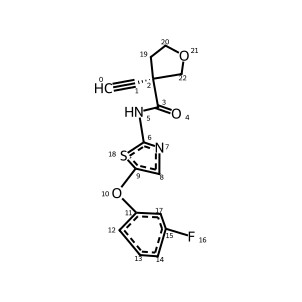 C#C[C@]1(C(=O)Nc2ncc(Oc3cccc(F)c3)s2)CCOC1